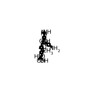 Cc1cc(C(=O)NC(CO)CO)ccc1-c1ccc(CC(NC(=O)C2CCC(CN)CC2)C(=O)Nc2ccc(-c3nn[nH]n3)cc2)cc1